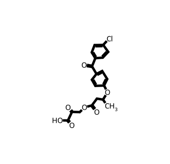 CC(CC(=O)OCC(=O)C(=O)O)Oc1ccc(C(=O)c2ccc(Cl)cc2)cc1